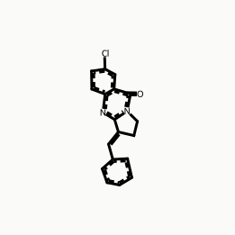 O=c1c2cc(Cl)ccc2nc2n1CCC2=Cc1ccccc1